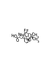 Cc1cc(C(F)(F)F)c(-c2ccc(CC(N)C(=O)O)c3cccnc23)c(=O)n1C